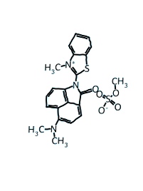 CN(C)c1ccc2c3c(cccc13)N(c1sc3ccccc3[n+]1C)C2=O.COS(=O)(=O)[O-]